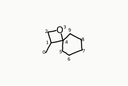 CC1COC12CCCCC2